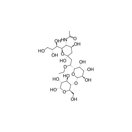 CCOC(C[C@]1(O)C[C@H](O)[C@@H](NC(C)=O)[C@H]([C@H](O)[C@H](O)CO)O1)[C@H]1O[C@@H](O[C@H]2[C@H](O)[C@@H](O)[C@@H](O)O[C@@H]2CO)[C@H](O)[C@@H](O)[C@H]1O